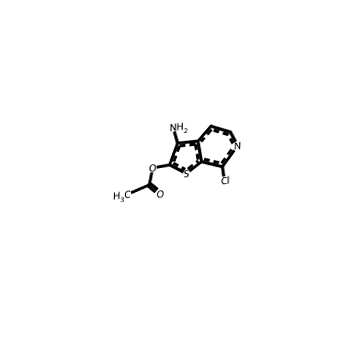 CC(=O)Oc1sc2c(Cl)nccc2c1N